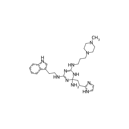 CN1CCN(CCCNC2=NC(NCCc3c[nH]c4ccccc34)=NC(N)(CCc3ncc[nH]3)N2)CC1